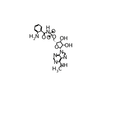 CNc1ncnc2c1ncn2[C@@H]1O[C@H](COS(=O)(=O)NC(=O)c2ccccc2N)[C@@H](O)[C@H]1O